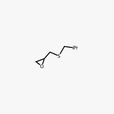 CC(C)CSCC1CO1